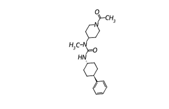 CC(=O)N1CCC(N(C)C(=O)N[C@H]2CC[C@H](c3ccccc3)CC2)CC1